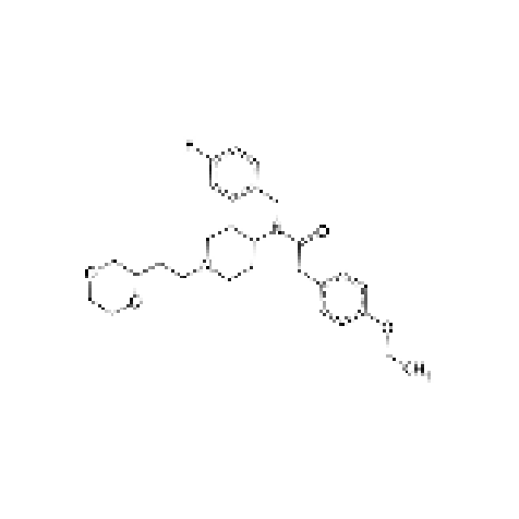 CCOc1ccc(CC(=O)N(Cc2ccc(F)cc2)C2CCN(CCC3COCCO3)CC2)cc1